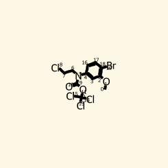 COc1cc(N(CCCl)C(=O)OC(Cl)(Cl)Cl)ccc1Br